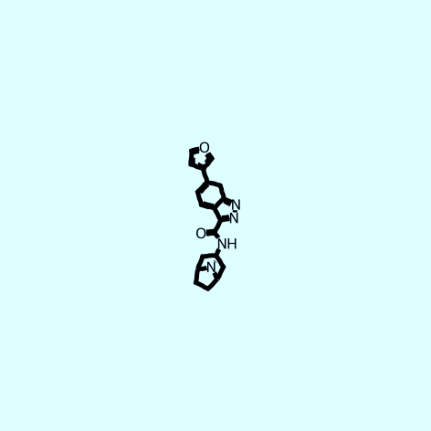 CN1C2CCC1CC(NC(=O)C1=NN=C3CC(c4ccoc4)=CC=C31)C2